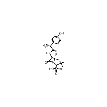 CC1(C)S[C@@H]2C(NC(=O)C(N)c3ccc(O)cc3)C(=O)N2C1P(=O)(O)O